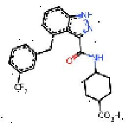 O=C(NC1CCC(C(=O)O)CC1)c1n[nH]c2cccc(Cc3cccc(C(F)(F)F)c3)c12